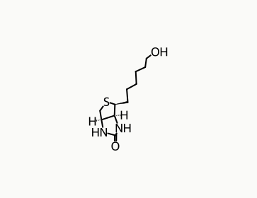 O=C1N[C@H]2[C@H](CS[C@H]2CCCCCCO)N1